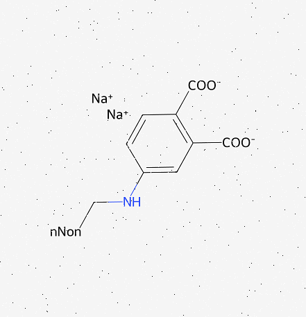 CCCCCCCCCCNc1ccc(C(=O)[O-])c(C(=O)[O-])c1.[Na+].[Na+]